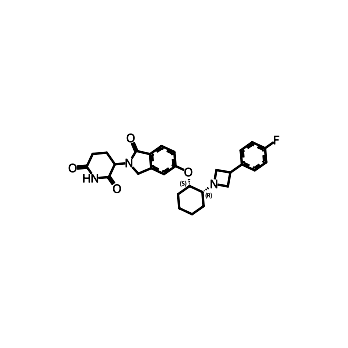 O=C1CCC(N2Cc3cc(O[C@H]4CCCC[C@H]4N4CC(c5ccc(F)cc5)C4)ccc3C2=O)C(=O)N1